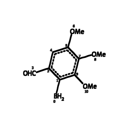 Bc1c(C=O)cc(OC)c(OC)c1OC